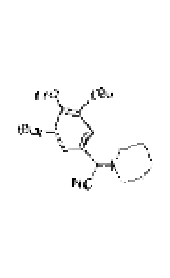 CC(C)(C)c1cc(C(C#N)N2CCCCC2)cc(C(C)(C)C)c1O